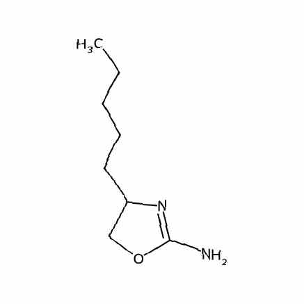 CCCCCC1COC(N)=N1